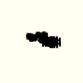 Oc1c(O)c(O)c(-c2ccc(-c3c4ccccc4c(-c4cccc(-c5ccc6oc7ccccc7c6c5)c4)c4ccccc34)c3ccccc23)c(O)c1O